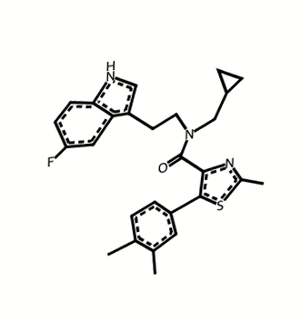 Cc1nc(C(=O)N(CCc2c[nH]c3ccc(F)cc23)CC2CC2)c(-c2ccc(C)c(C)c2)s1